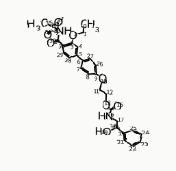 CCOc1cc(-c2ccc(OCCOC(=O)NC[C@H](O)c3ccccc3)cc2)ccc1C(=O)NS(C)(=O)=O